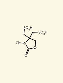 O=C1OCC(CS(=O)(=O)O)(CS(=O)(=O)O)N1Cl